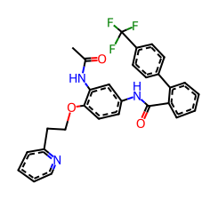 CC(=O)Nc1cc(NC(=O)c2ccccc2-c2ccc(C(F)(F)F)cc2)ccc1OCCc1ccccn1